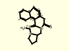 CCN1CCCC1CN1C(=O)CC23C=CC=CC2=CC2C=CC=CC2=C3C1=O